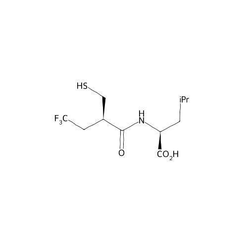 CC(C)C[C@H](NC(=O)[C@H](CS)CC(F)(F)F)C(=O)O